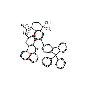 CC1(C)CCC(C)(C)c2cc(-c3cc4c(cc3N(c3ccccc3)c3cc5c(cc3-c3ccccc3)CCCC5)C(c3ccccc3)(c3ccccc3)c3ccccc3-4)ccc21